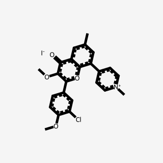 COc1ccc(-c2oc3c(-c4cc[n+](C)cc4)cc(C)cc3c(=O)c2OC)cc1Cl.[I-]